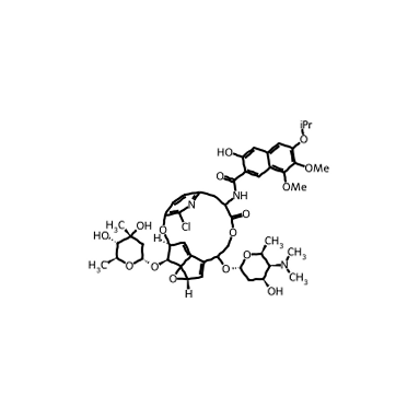 COc1c(OC(C)C)cc2cc(O)c(C(=O)NC3Cc4ccc(c(Cl)n4)O[C@H]4C=C5C(=C[C@@H]6OC56[C@H]4O[C@H]4C[C@@](C)(O)[C@@H](O)[C@H](C)O4)C(O[C@H]4C[C@H](O)[C@H](N(C)C)[C@H](C)O4)COC3=O)cc2c1OC